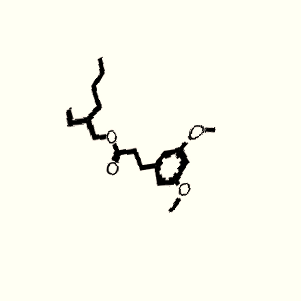 CCCCC(CC)COC(=O)CCc1cc(OC)cc(OC)c1